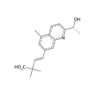 Cc1cc(/C=C/C(C)(C)C(=O)O)cc2nc([C@@H](C)O)ccc12